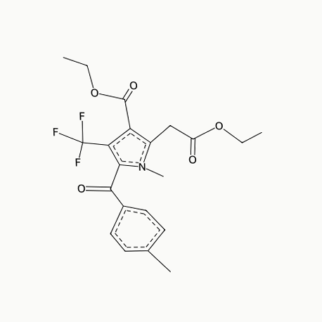 CCOC(=O)Cc1c(C(=O)OCC)c(C(F)(F)F)c(C(=O)c2ccc(C)cc2)n1C